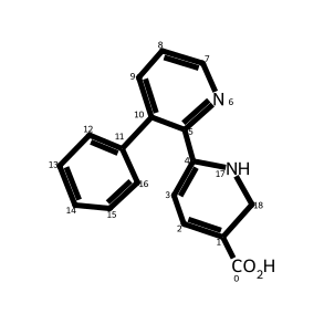 O=C(O)C1=CC=C(c2ncccc2-c2ccccc2)NC1